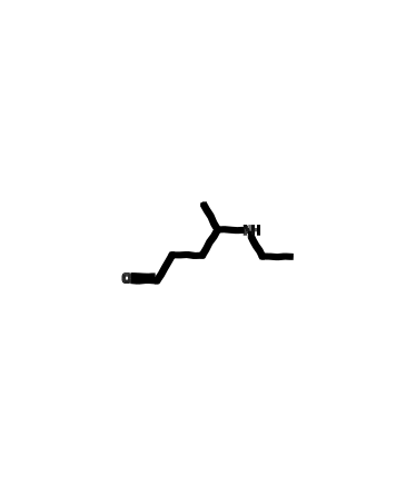 CCNC(C)CCC=O